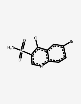 NS(=O)(=O)c1cnc2ccc(Br)cc2c1Cl